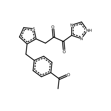 CC(=O)c1ccc(Cc2ccsc2CC(=O)C(=O)c2nc[nH]n2)cc1